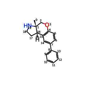 C[C@@]12COc3ccc(-c4ccccc4)cc3[C@@H]1CCN2